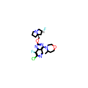 CC1CCOCCN1c1nc(OC[C@@]23CCCN2C[C@H](F)C3)nc2c(F)c(Cl)ncc12